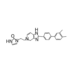 Cc1ccc(-c2ccc(-c3nc4c([nH]3)C=CN(CCn3cc[nH]c3=O)C4)cc2)cc1C